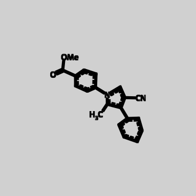 COC(=O)c1ccc(-n2cc(C#N)c(-c3ccccc3)c2C)cc1